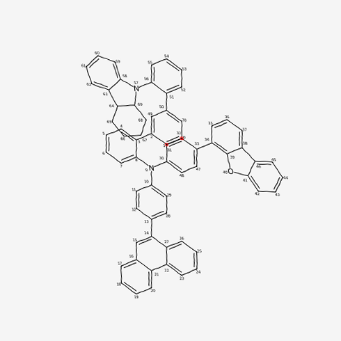 c1cc(-c2ccccc2N(c2ccc(-c3cc4ccccc4c4ccccc34)cc2)c2ccc(-c3cccc4c3oc3ccccc34)cc2)cc(-c2ccccc2N2c3ccccc3C3CCCCC32)c1